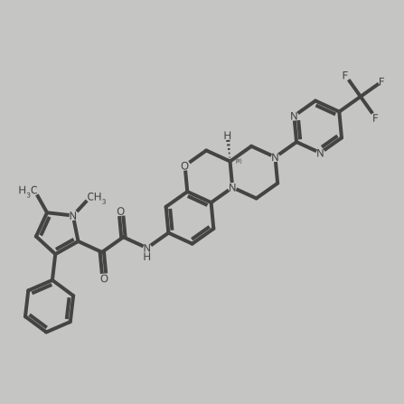 Cc1cc(-c2ccccc2)c(C(=O)C(=O)Nc2ccc3c(c2)OC[C@H]2CN(c4ncc(C(F)(F)F)cn4)CCN32)n1C